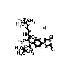 C[C@@H](C(=O)NCCC[N+](C)(C)C)N(C(=O)OC(C)(C)C)c1ccc(N(CCCl)CCCl)cc1.[I-]